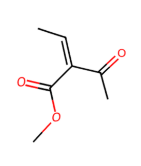 CC=C(C(C)=O)C(=O)OC